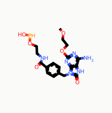 COCCOc1nc(N)c2[nH]c(=O)n(Cc3ccc(C(=O)NCCOPO)cc3)c2n1